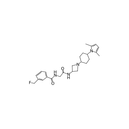 Cc1ccc(C)n1C1CCC(N2CC(NC(=O)CNC(=O)c3cccc(CF)c3)C2)CC1